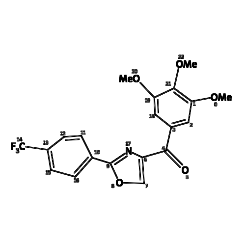 COc1cc(C(=O)c2coc(-c3ccc(C(F)(F)F)cc3)n2)cc(OC)c1OC